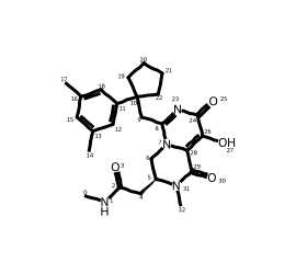 CNC(=O)C[C@H]1Cn2c(CC3(c4cc(C)cc(C)c4)CCCC3)nc(=O)c(O)c2C(=O)N1C